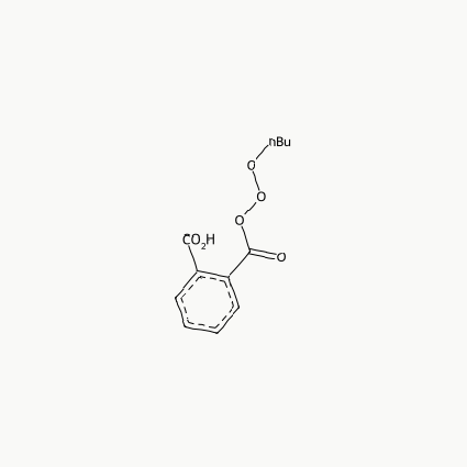 CCCCOOOC(=O)c1ccccc1C(=O)O